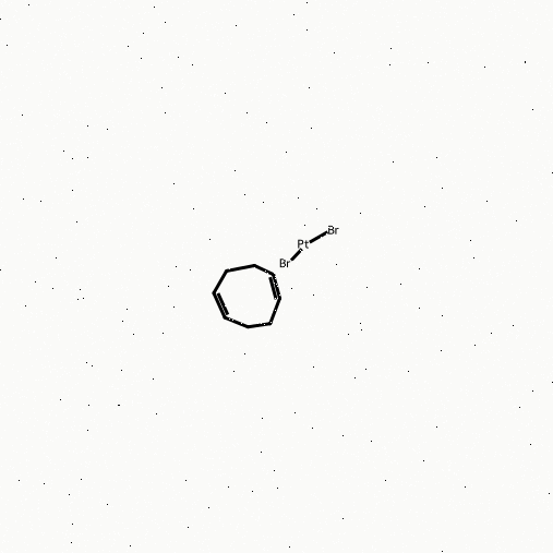 C1=CCCC=CCC1.[Br][Pt][Br]